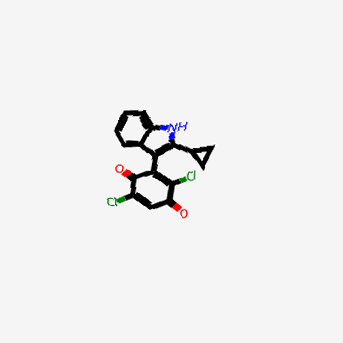 O=C1C=C(Cl)C(=O)C(c2c(C3CC3)[nH]c3ccccc23)=C1Cl